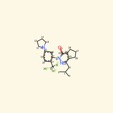 CC(C)Cc1nn(-c2cc(N3CCCC3)ccc2C(F)(F)F)c(=O)c2c1CCC2